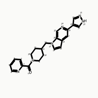 O=C(c1ccccn1)N1CCC(Cn2ccc3cc(-c4cn[nH]c4)ncc32)CC1